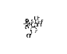 CS(=O)(=O)N(SC(Cl)(Cl)C(F)(F)Cl)c1cccc(Cl)c1